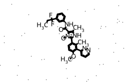 CCC(F)(F)c1cccc(NC(=O)c2c(C)[nH]c(-c3ccc(OC)c(-c4cccnn4)c3C)[n+]2[O-])c1